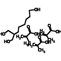 C=C(C)C(=O)O.C=C(C)C(=O)O.C=C(C)C(=O)O.OCCCCCCC(CO)CO